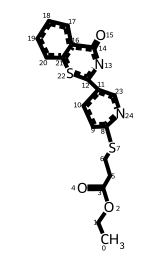 CCOC(=O)CCSc1ccc(-c2nc(=O)c3ccccc3s2)cn1